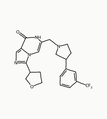 O=c1[nH]c(CN2CCC(c3cccc(C(F)(F)F)c3)C2)cn2c(C3CCOC3)ncc12